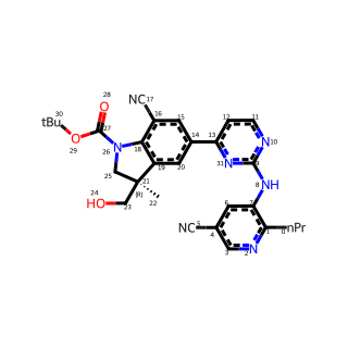 CCCc1ncc(C#N)cc1Nc1nccc(-c2cc(C#N)c3c(c2)[C@@](C)(CO)CN3C(=O)OC(C)(C)C)n1